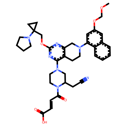 COCOc1cc(N2CCc3c(nc(OCC4(N5CCCC5)CC4)nc3N3CCN(C(=O)/C=C/C(=O)O)C(CC#N)C3)C2)c2ccccc2c1